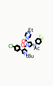 CCN1CCN(C(=O)[C@@H]2C[C@H](N(C(C)=O)C3CCC(F)(F)CC3)CN2C(=O)[C@@H]2CN(C(C)(C)C)C[C@H]2c2ccc(Cl)cc2)CC1